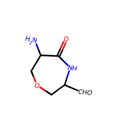 NC1COCC(C=O)NC1=O